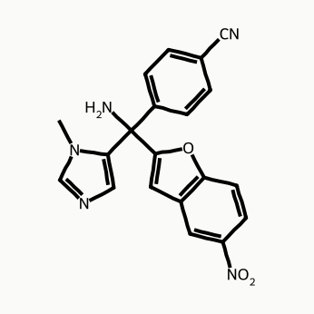 Cn1cncc1C(N)(c1ccc(C#N)cc1)c1cc2cc([N+](=O)[O-])ccc2o1